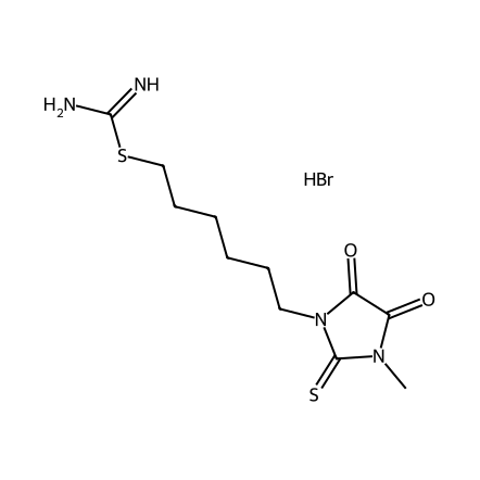 Br.CN1C(=O)C(=O)N(CCCCCCSC(=N)N)C1=S